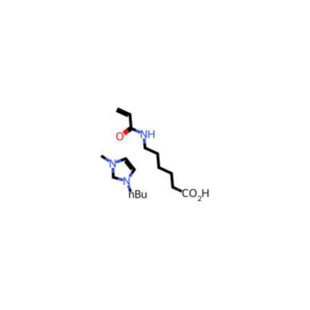 C=CC(=O)NCCCCCC(=O)O.CCCCN1C=CN(C)C1